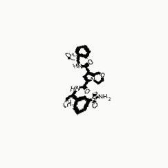 CCC(NC(=O)c1cc(C(=O)N[C@H](CC)c2ccccc2)c2n1CCOC2)c1cccc(S(N)(=O)=O)c1